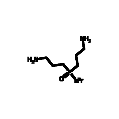 CCCP(=O)(CCCN)CCCN